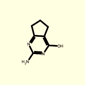 Nc1nc(O)c2c(n1)CCC2